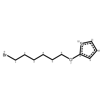 BrCCCCCCOc1cccs1